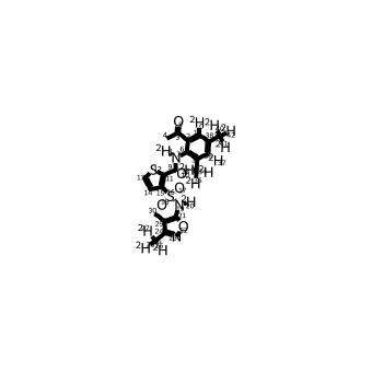 [2H]c1c(C(C)=O)c(N([2H])C(=O)c2sccc2S(=O)(=O)N([2H])c2onc(C([2H])([2H])[2H])c2C)c(C([2H])([2H])[2H])c([2H])c1C([2H])([2H])[2H]